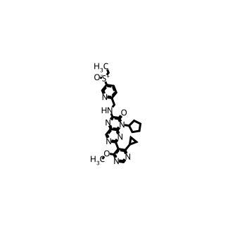 CC[S+]([O-])c1ccc(CNc2nc3cnc(-c4c(OC)ncnc4C4CC4)nc3n(C3CCCC3)c2=O)nc1